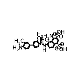 Cc1cc(-c2ccc(NNc3ccc4c(S(=O)(=O)O)cc(S(=O)(=O)O)c(N)c4c3O)c(C)c2)ccc1N